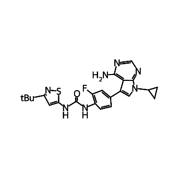 CC(C)(C)c1cc(NC(=O)Nc2ccc(-c3cn(C4CC4)c4ncnc(N)c34)cc2F)sn1